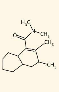 CC1=C(C(=O)N(C)C)C2CCCCC2CC1C